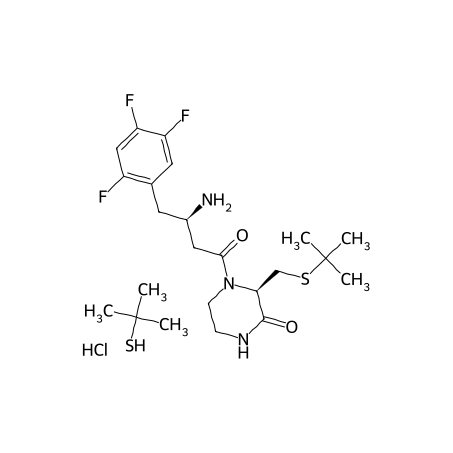 CC(C)(C)S.CC(C)(C)SC[C@H]1C(=O)NCCN1C(=O)C[C@H](N)Cc1cc(F)c(F)cc1F.Cl